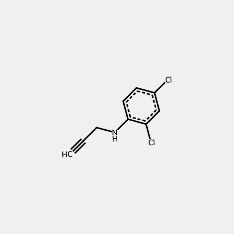 C#CCNc1ccc(Cl)cc1Cl